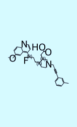 COc1ccc2nccc([C@H](F)CC[C@@H]3CCN(CC#Cc4cccc(C)c4)C[C@@H]3CC(=O)O)c2c1